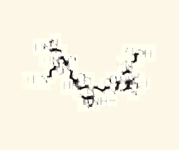 NCCC(=O)N[C@@H](Cc1c[nH]cn1)C(=O)NCCC(=O)N[C@@H](Cc1c[nH]cn1)C(=O)NCCC(=O)N[C@@H](Cc1c[nH]cn1)C(=O)NCC(=O)NCC(=O)O